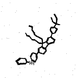 CCCCCCC1(CCCCCC)c2cc(-c3ccc(Nc4ccccc4)cc3)ccc2-c2ccc(-c3ccc(C(C)(CC)CC)cc3)cc21